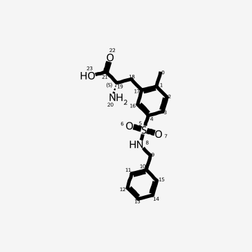 Cc1ccc(S(=O)(=O)NCc2ccccc2)cc1C[C@H](N)C(=O)O